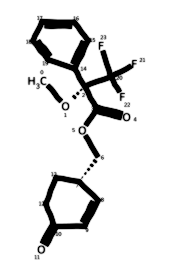 CO[C@](C(=O)OC[C@@H]1C=CC(=O)CC1)(c1ccccc1)C(F)(F)F